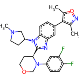 Cc1noc(C)c1-c1ccc2c(c1)nc([C@@H]1CCOCN1c1ccc(F)c(F)c1)n2[C@H]1CCN(C)C1